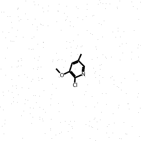 COc1cc(C)cnc1Cl